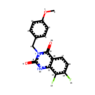 COc1ccc(Cn2c(=O)[nH]c3c(F)c(F)ccc3c2=O)cc1